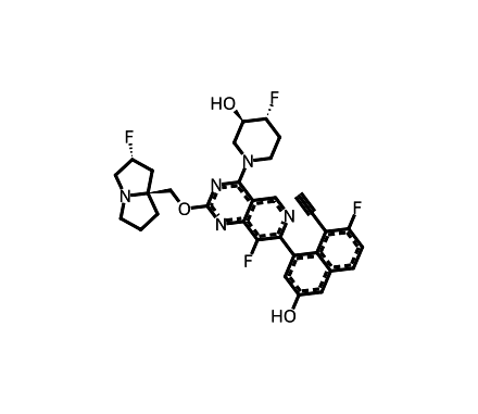 C#Cc1c(F)ccc2cc(O)cc(-c3ncc4c(N5CC[C@@H](F)[C@H](O)C5)nc(OC[C@@]56CCCN5C[C@H](F)C6)nc4c3F)c12